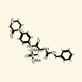 COP(=O)(C[C@@H](NC(=O)OCc1ccccc1)C(=O)Nc1ccc(N2CCOCC2=O)cc1)OC